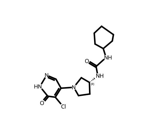 O=C(NC1CCCCC1)N[C@@H]1CCN(c2cn[nH]c(=O)c2Cl)C1